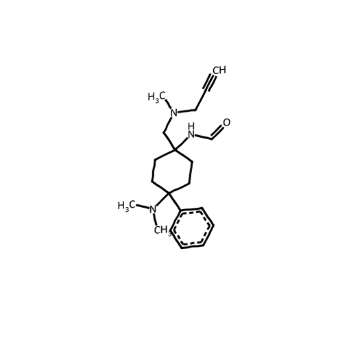 C#CCN(C)CC1(NC=O)CCC(c2ccccc2)(N(C)C)CC1